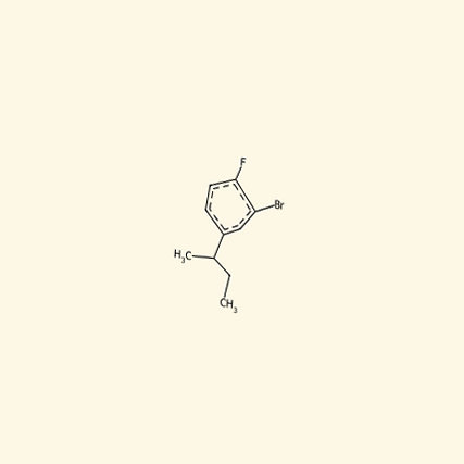 CCC(C)c1ccc(F)c(Br)c1